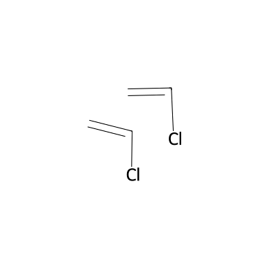 C=CCl.C=CCl